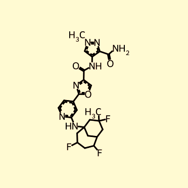 Cn1cc(NC(=O)c2coc(-c3ccnc(NC45CC(F)CC(F)C(CC(C)(F)C4)C5)c3)n2)c(C(N)=O)n1